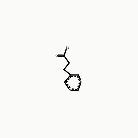 CCC(=O)CCc1cncnc1